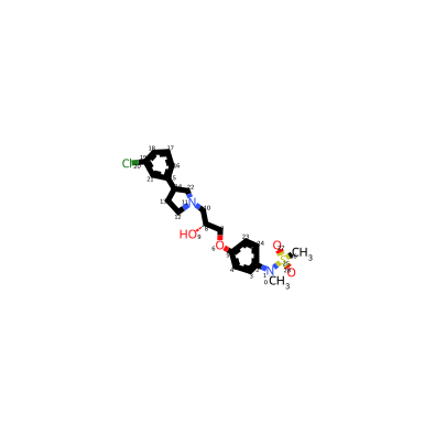 CN(c1ccc(OC[C@H](O)CN2CCC(c3cccc(Cl)c3)C2)cc1)S(C)(=O)=O